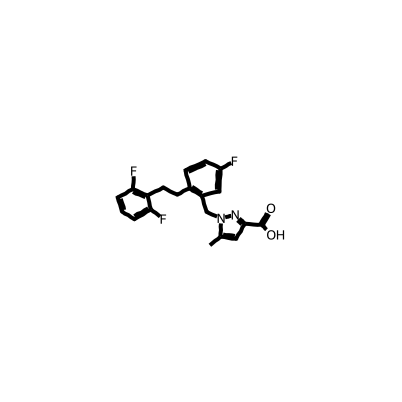 Cc1cc(C(=O)O)nn1Cc1cc(F)ccc1CCc1c(F)cccc1F